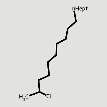 CCCCCCCCCCCCCCCC(C)Cl